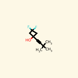 CC(C)(C)C#CC1(O)CC(F)(F)C1